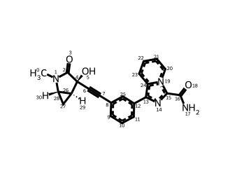 CN1C(=O)[C@](O)(C#Cc2cccc(-c3nc(C(N)=O)n4ccccc34)c2)[C@H]2C[C@@H]21